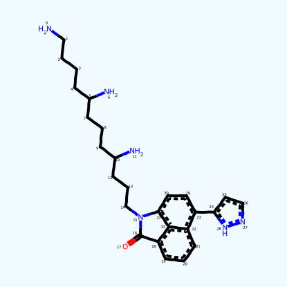 NCCCCC(N)CCCC(N)CCCN1C(=O)c2cccc3c(-c4ccn[nH]4)ccc1c23